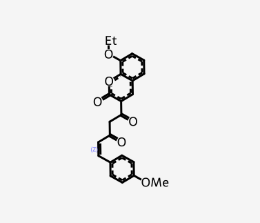 CCOc1cccc2cc(C(=O)CC(=O)/C=C\c3ccc(OC)cc3)c(=O)oc12